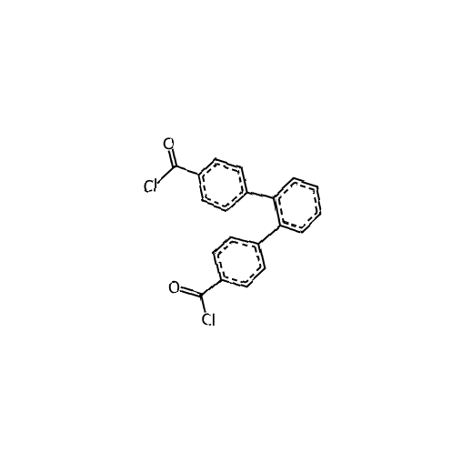 O=C(Cl)c1ccc(-c2ccccc2-c2ccc(C(=O)Cl)cc2)cc1